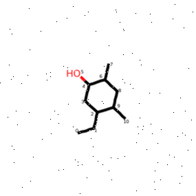 CCC1CC(O)C(C)CC1C